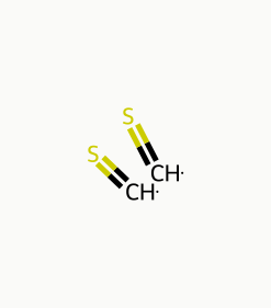 [CH]=S.[CH]=S